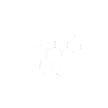 C=CCN(C(=S)Nc1cccc(Cl)c1)c1cccc(C(F)(F)F)c1